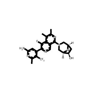 Cc1nc(N)cc(-c2ncc3c(N4C[C@H]5C[C@@H](O)[C@@H](C4)N5)nc(C)c(C)c3c2F)c1C(F)(F)F